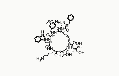 CC(O)[C@@H]1NC(=O)[C@H](CCCCN)NC(=O)[C@@H](Cc2c[nH]c3ccccc23)NC(=O)[C@H](Cc2ccccc2)NC(=O)[C@@H](NC(=O)[C@H](N)Cc2ccccc2)CSSC[C@@H](C(=O)N[C@H](CO)[C@@H](C)O)NC1=O.CS(=O)(=O)O